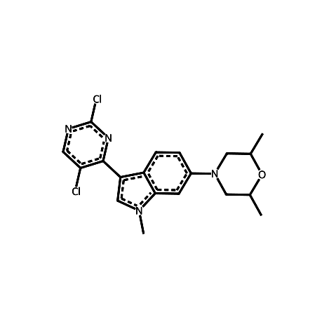 CC1CN(c2ccc3c(-c4nc(Cl)ncc4Cl)cn(C)c3c2)CC(C)O1